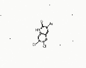 CC(=O)c1cc2cc(Cl)c(Br)cc2[nH]c1=O